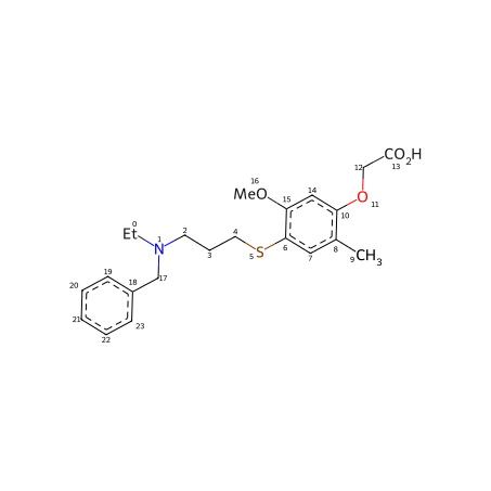 CCN(CCCSc1cc(C)c(OCC(=O)O)cc1OC)Cc1ccccc1